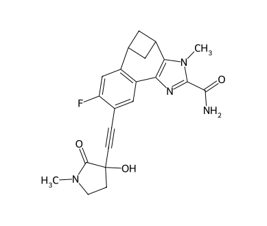 CN1CCC(O)(C#Cc2cc3c(cc2F)C2CC(C2)c2c-3nc(C(N)=O)n2C)C1=O